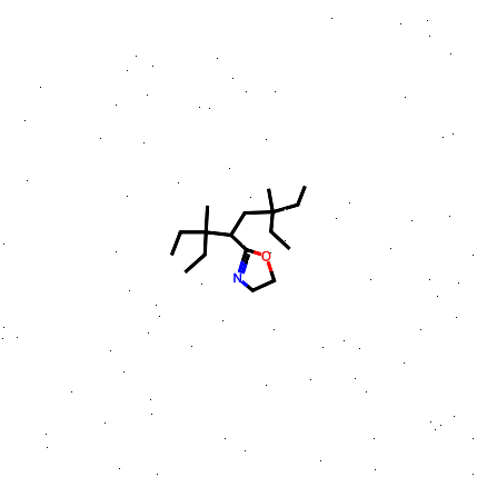 CCC(C)(CC)CC(C1=NCCO1)C(C)(CC)CC